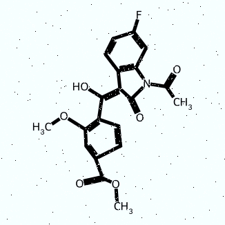 COC(=O)c1ccc(C(O)=C2C(=O)N(C(C)=O)c3cc(F)ccc32)c(OC)c1